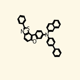 c1ccc(-c2ccc(N(c3ccc4ccccc4c3)c3ccc4c(c3)oc3ccc5nc(-c6ccccc6)sc5c34)cc2)cc1